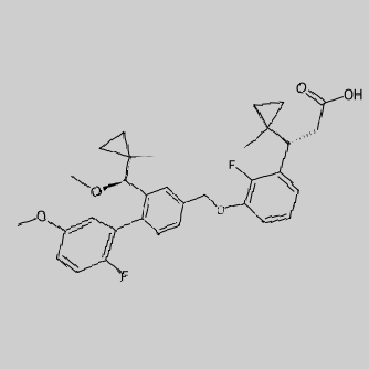 COc1ccc(F)c(-c2ccc(COc3cccc([C@@H](CC(=O)O)C4(C)CC4)c3F)cc2[C@@H](OC)C2(C)CC2)c1